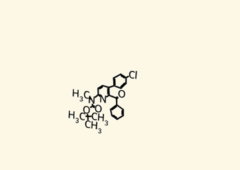 CN(C(=O)OC(C)(C)C)c1ccc(-c2ccc(Cl)cc2)c(C(=O)c2ccccc2)n1